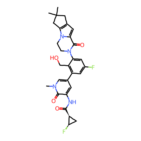 Cn1cc(-c2cc(F)cc(N3CCn4c(cc5c4CC(C)(C)C5)C3=O)c2CO)cc(NC(=O)[C@H]2C[C@H]2F)c1=O